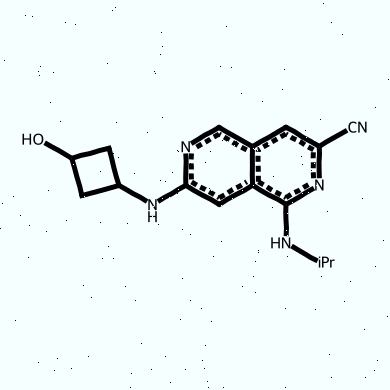 CC(C)Nc1nc(C#N)cc2cnc(NC3CC(O)C3)cc12